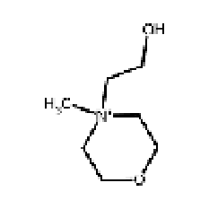 C[N+]1(CCO)CCOCC1